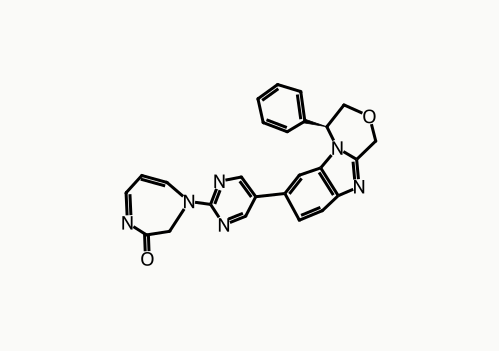 O=C1CN(c2ncc(-c3ccc4nc5n(c4c3)[C@@H](c3ccccc3)COC5)cn2)C=CC=N1